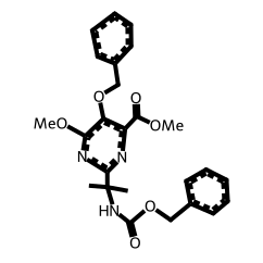 COC(=O)c1nc(C(C)(C)NC(=O)OCc2ccccc2)nc(OC)c1OCc1ccccc1